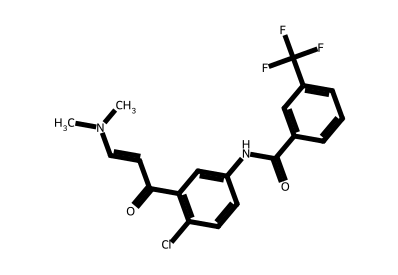 CN(C)C=CC(=O)c1cc(NC(=O)c2cccc(C(F)(F)F)c2)ccc1Cl